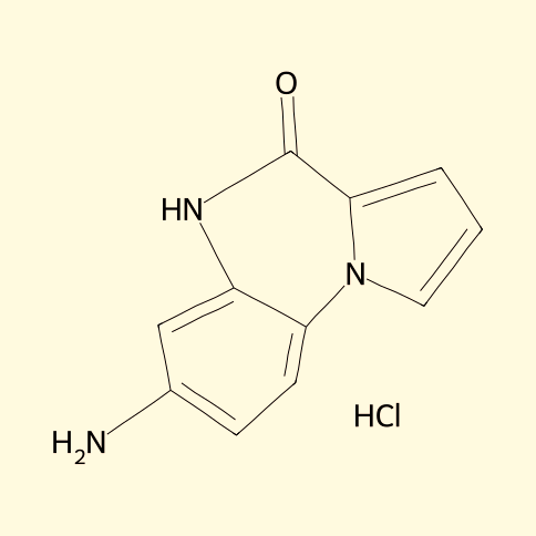 Cl.Nc1ccc2c(c1)[nH]c(=O)c1cccn12